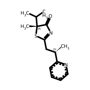 CC(C)[C@@]1(C)SC(C[C@H](C)c2ccccn2)=NC1=O